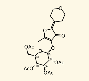 CC(=O)OC[C@H]1O[C@@H](OC2=C(C)OC(=C3CCOCC3)C2=O)[C@H](OC(C)=O)[C@@H](OC(C)=O)[C@@H]1OC(C)=O